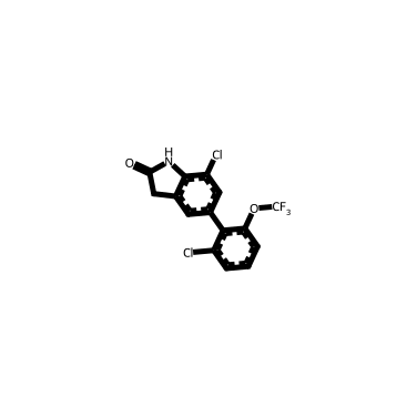 O=C1Cc2cc(-c3c(Cl)cccc3OC(F)(F)F)cc(Cl)c2N1